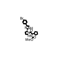 COC(=O)NC(C(=O)N1CC=C[C@H]1c1nc(-c2ccc(Br)cc2)c[nH]1)C1CCCC1